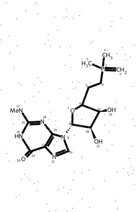 C=P(C)(C)CCC1O[C@@H](n2cnc3c(=O)[nH]c(NC)nc32)[C@H](O)[C@@H]1O